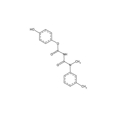 Cc1cccc(N(C)C(=O)NC(=O)Oc2ccc(O)cc2)c1